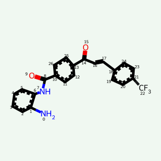 Nc1ccccc1NC(=O)c1ccc(C(=O)C=Cc2ccc(C(F)(F)F)cc2)cc1